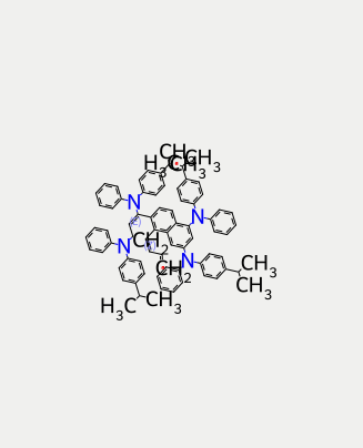 C=C/C=C\c1c(/C(=C\C(=C)N(c2ccccc2)c2ccc(C(C)C)cc2)N(c2ccccc2)c2ccc(C(C)C)cc2)ccc2c(N(c3ccccc3)c3ccc(C(C)C)cc3)cc(N(c3ccccc3)c3ccc(C(C)C)cc3)cc12